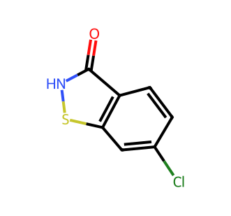 O=c1[nH]sc2cc(Cl)ccc12